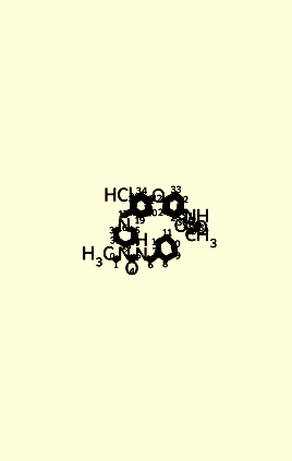 CCN(C(=O)NCC1CCCCC1)C1CCN(Cc2ccc(Oc3ccc(NS(C)(=O)=O)cc3)cc2)CC1.Cl